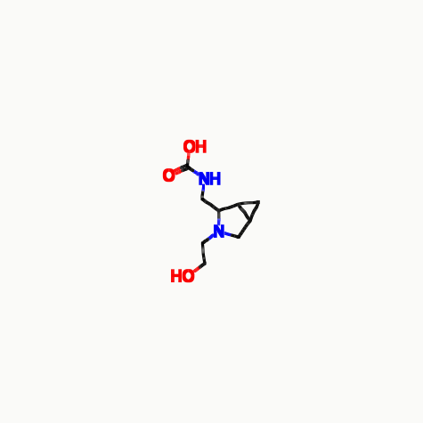 O=C(O)NCC1C2CC2CN1CCO